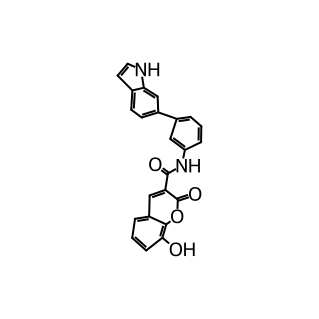 O=C(Nc1cccc(-c2ccc3cc[nH]c3c2)c1)c1cc2cccc(O)c2oc1=O